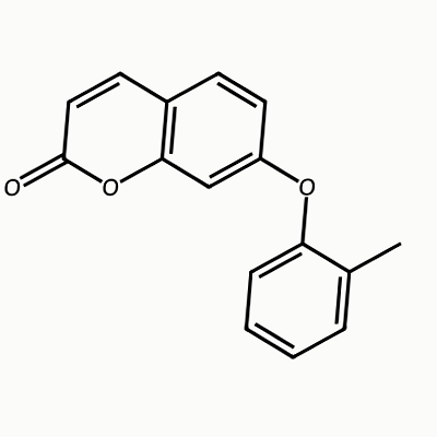 Cc1ccccc1Oc1ccc2ccc(=O)oc2c1